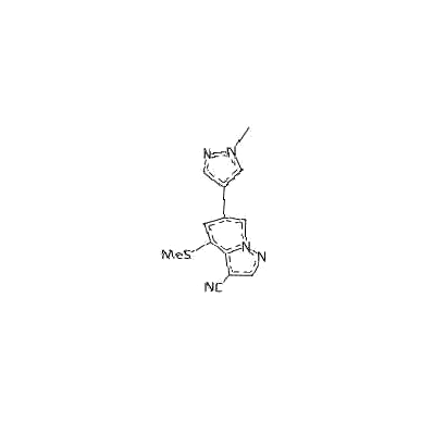 CSc1cc(-c2cnn(C)c2)cn2ncc(C#N)c12